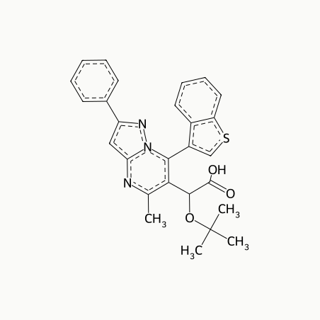 Cc1nc2cc(-c3ccccc3)nn2c(-c2csc3ccccc23)c1C(OC(C)(C)C)C(=O)O